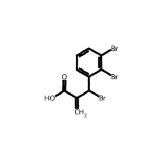 C=C(C(=O)O)C(Br)c1cccc(Br)c1Br